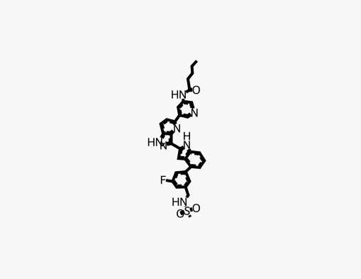 CCCCC(=O)Nc1cncc(-c2ccc3[nH]nc(-c4cc5c(-c6cc(F)cc(CNS(C)(=O)=O)c6)cccc5[nH]4)c3n2)c1